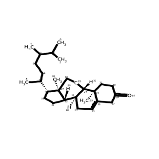 CC(C)C(C)CCC(C)[C@H]1CC[C@H]2[C@@H]3CC=C4CC(=O)CC[C@]4(C)[C@H]3CC[C@]12C